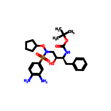 CC(C)(C)OC(=O)N[C@@H](Cc1ccccc1)[C@@H](O)CN(OC1CCCC1)S(=O)(=O)c1ccc(N)c(N)c1